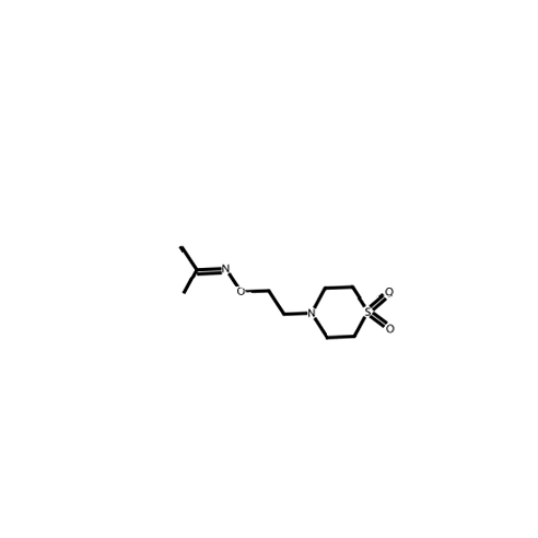 CC(C)=NOCCN1CCS(=O)(=O)CC1